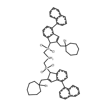 CCC1(CC2=Cc3c(-c4cccc5ccccc45)cccc3[CH]2[Zr]([Cl])([Cl])[CH2][SiH2][CH2][Zr]([Cl])([Cl])[CH]2C(CC3(CC)CCCCCC3)=Cc3c(-c4cccc5ccccc45)cccc32)CCCCCC1